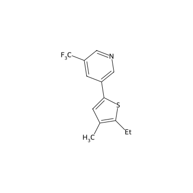 CCc1sc(-c2cncc(C(F)(F)F)c2)cc1C